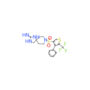 N=C1NCC2(CCN(S(=O)(=O)c3csc(C(F)(F)F)c3-c3ccccc3)CC2)N1